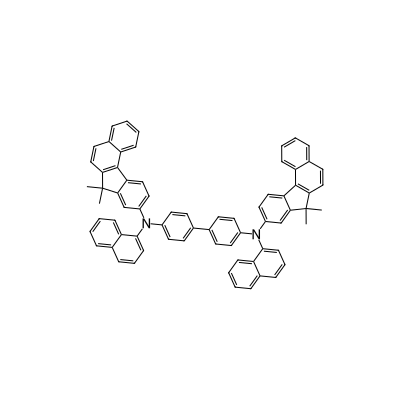 CC1(C)c2cc(N(c3ccc(-c4ccc(N(c5ccc6c(c5)C(C)(C)c5ccc7ccccc7c5-6)c5cccc6ccccc56)cc4)cc3)c3cccc4ccccc34)ccc2-c2c1ccc1ccccc21